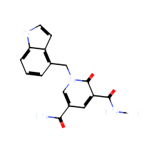 CNC(=O)c1cc(C(N)=O)cn(Cc2cccc3[nH]ccc23)c1=O